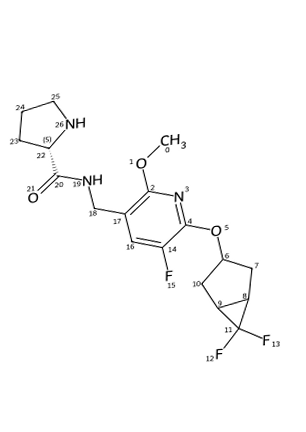 COc1nc(OC2CC3C(C2)C3(F)F)c(F)cc1CNC(=O)[C@@H]1CCCN1